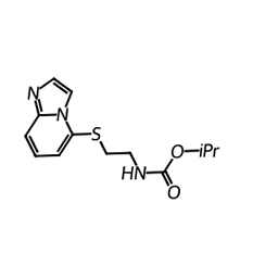 CC(C)OC(=O)NCCSc1cccc2nccn12